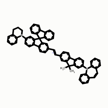 CC1(C)c2cc(/C=C/c3ccc4c(c3)C3(c5ccccc5-c5ccccc53)c3cc(N5CCCc6ccccc65)ccc3-4)ccc2-c2ccc(N3c4ccccc4C=Cc4ccccc43)cc21